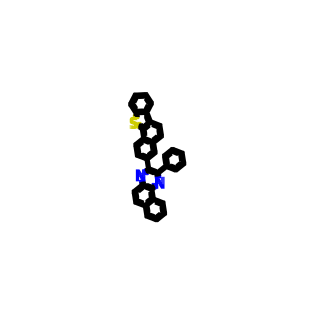 c1ccc(-c2nc3c(ccc4ccccc43)nc2-c2ccc3c(ccc4c5ccccc5sc34)c2)cc1